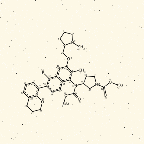 Cc1c(OCC2CCCN2C)nc2c(F)c(-c3cccc4c3OCCC4)ncc2c1N(C(=O)OC(C)(C)C)C1CCN(C(=O)OC(C)(C)C)C1